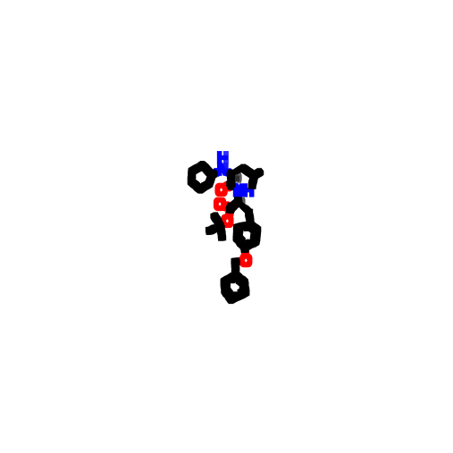 CC(C)C[C@H](NC1CCCCC1)C(=O)N[C@@H](Cc1ccc(OCc2ccccc2)cc1)C(=O)OC(C)(C)C